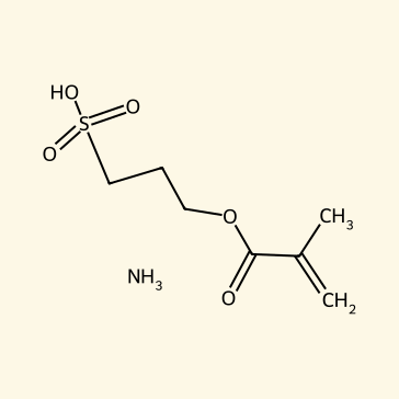 C=C(C)C(=O)OCCCS(=O)(=O)O.N